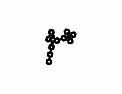 c1ccc(-c2ccc(-c3ccc(N(c4ccc(-c5ccc([Si](c6ccccc6)(c6ccccc6)c6ccccc6)cc5)cc4)c4cccc5c4oc4ccccc45)cc3)cc2)cc1